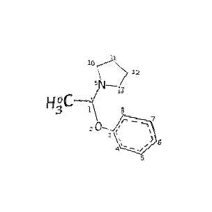 C[C](Oc1ccccc1)N1CCCC1